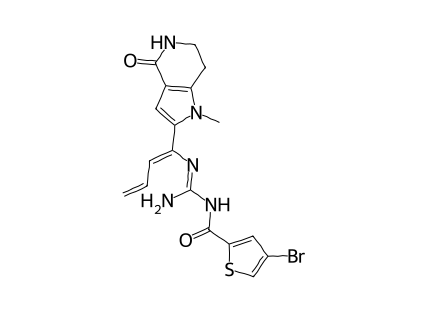 C=C/C=C(\N=C(/N)NC(=O)c1cc(Br)cs1)c1cc2c(n1C)CCNC2=O